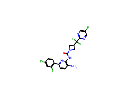 Nc1ccc(-c2ccc(F)cc2F)nc1NC(=O)N1CC(C(F)(F)c2ncc(F)cn2)C1